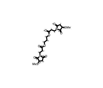 CSC1CC(=O)N(CCC(=O)OCCCOC(=O)CCN2C(=O)CC(SC)C2=O)C1=O